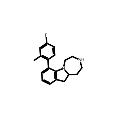 Cc1cc(F)ccc1-c1cccc2c1N1CCNCCC1C2